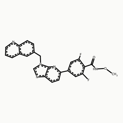 CONC(=O)c1c(F)cc(-c2ccc3ncn(Cc4ccc5ncccc5c4)c3n2)cc1F